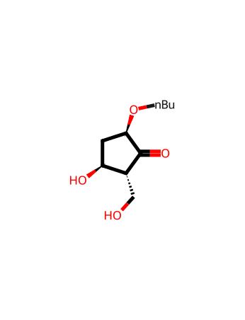 CCCCO[C@@H]1C[C@H](O)[C@@H](CO)C1=O